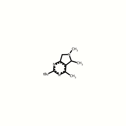 Cc1nc(C(C)(C)C)nc2c1C(C)N(C)C2